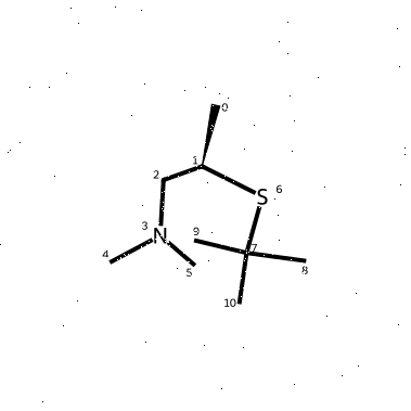 C[C@H](CN(C)C)SC(C)(C)C